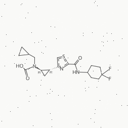 O=C(NC1CCC(F)(F)CC1)c1nc([C@@H]2C[C@H]2N(CC2CC2)C(=O)O)cs1